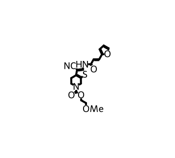 COCCOC(=O)N1CCc2c(sc(NC(=O)C=Cc3ccco3)c2C#N)C1